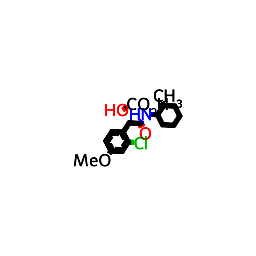 COc1ccc(CC(=O)NC2CCCCC2C)c(Cl)c1.O=C(O)O